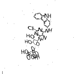 O=P(O)(O)CP(=O)(O)OC[C@H]1O[C@@H](n2cnc3c(Nc4ccc5[nH]c6ccccc6c5c4)nc(Cl)nc32)C(O)C1O